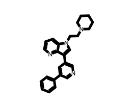 c1ccc(-c2cncc(-c3cn(CCN4CCCCC4)c4cccnc34)c2)cc1